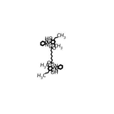 CCCc1cc(C)c(OC(=O)CCCCCCC(=O)Oc2c(C)cc(CCC)c(O)c2-n2nc3ccccc3n2)c(-n2nc3ccccc3n2)c1O